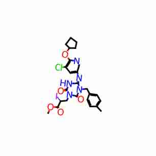 COC(=O)[C@@H](I)Cn1c(=O)[nH]/c(=N\c2cnc(OC3CCCC3)c(Cl)c2)n(Cc2ccc(C)cc2)c1=O